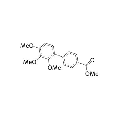 COC(=O)c1ccc(-c2ccc(OC)c(OC)c2OC)cc1